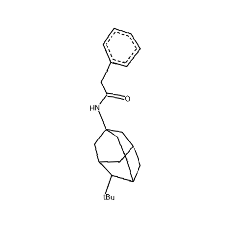 CC(C)(C)C1C2CC3CC1CC(NC(=O)Cc1ccccc1)(C3)C2